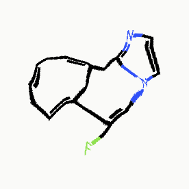 Fc1cn2ccnc2c2ccccc12